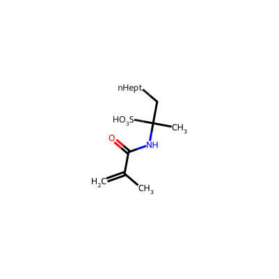 C=C(C)C(=O)NC(C)(CCCCCCCC)S(=O)(=O)O